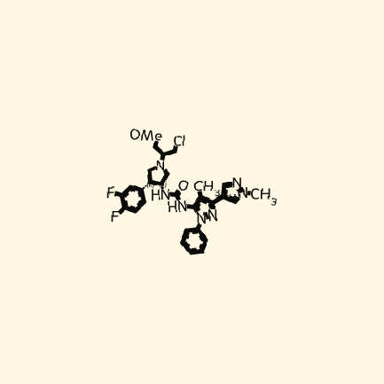 COCC(CCl)N1C[C@@H](NC(=O)Nc2c(C)c(-c3cnn(C)c3)nn2-c2ccccc2)[C@H](c2ccc(F)c(F)c2)C1